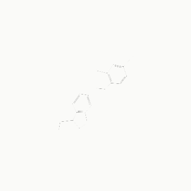 O=C(O)CC1COc2cc(OCc3ccc(Cl)cc3Cl)ccc21